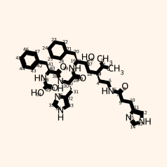 CC(C)[C@@H](CCNC(=O)CCc1c[nH]cn1)C[C@@H](O)[C@H](CC1CCCCC1)NC(=O)[C@H](Cc1c[nH]cn1)NC(=O)[C@H](Cc1ccccc1)NC(=O)O